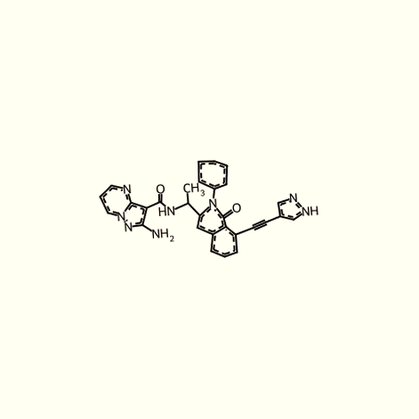 CC(NC(=O)c1c(N)nn2cccnc12)c1cc2cccc(C#Cc3cn[nH]c3)c2c(=O)n1-c1ccccc1